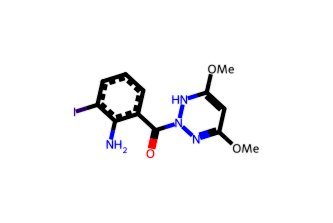 COC1=CC(OC)=NN(C(=O)c2cccc(I)c2N)N1